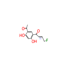 CC(=O)c1cc(C(=O)/C=C/CF)c(O)cc1O